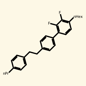 CCCCCCc1ccc(-c2ccc(CCc3ccc(CCC)cc3)cc2)c(F)c1F